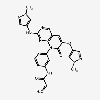 C=CC(=O)Nc1cccc(-n2c(=O)c(Oc3cnn(C)c3)cc3cnc(Nc4cnn(C)c4)nc32)c1